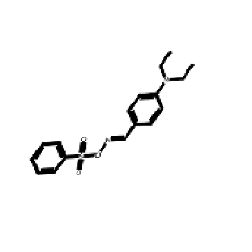 CCN(CC)c1ccc(C=NOS(=O)(=O)c2ccccc2)cc1